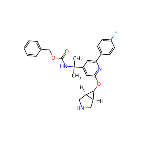 CC(C)(NC(=O)OCc1ccccc1)c1cc(OC2[C@H]3CNC[C@@H]23)nc(-c2ccc(F)cc2)c1